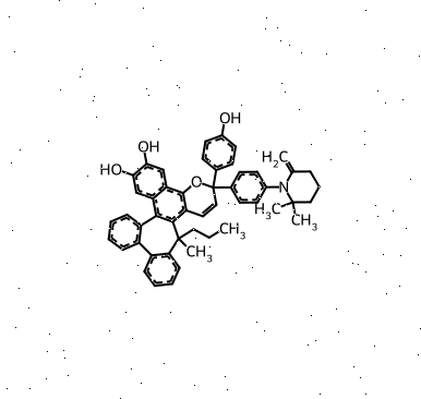 C=C1CCCC(C)(C)N1c1ccc(C2(c3ccc(O)cc3)C=Cc3c4c(c5cc(O)c(O)cc5c3O2)-c2ccccc2-c2ccccc2C4(C)CCC)cc1